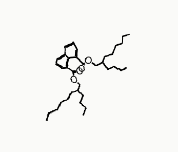 CCCCCCC(CCCC)COC(=O)c1cccc2cccc(C(=O)OCC(CCCC)CCCCCC)c12